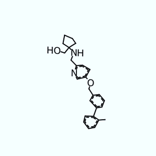 Cc1ccccc1-c1cccc(COc2ccc(CNC3(CO)CCCC3)nc2)c1